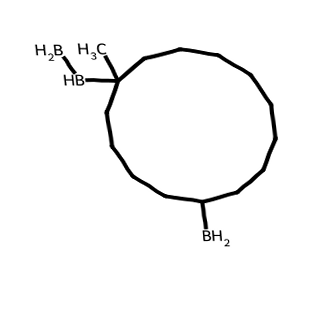 BBC1(C)CCCCCCCCC(B)CCCC1